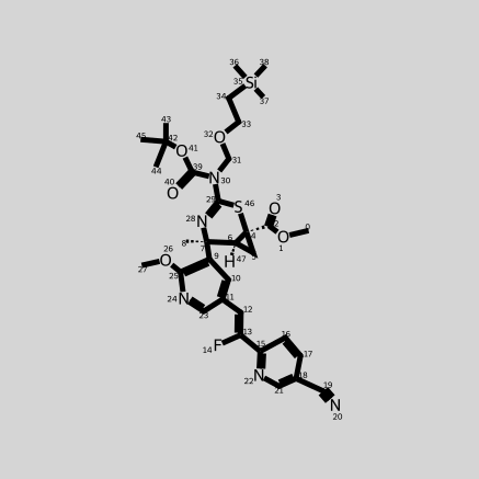 COC(=O)[C@]12C[C@H]1[C@@](C)(c1cc(/C=C(\F)c3ccc(C#N)cn3)cnc1OC)N=C(N(COCC[Si](C)(C)C)C(=O)OC(C)(C)C)S2